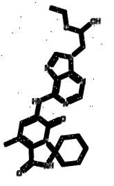 CCOC(O)Cn1cnc2c(Nc3cc(C)c4n(c3=O)C3(CCCCC3)NC4=O)ncnc21